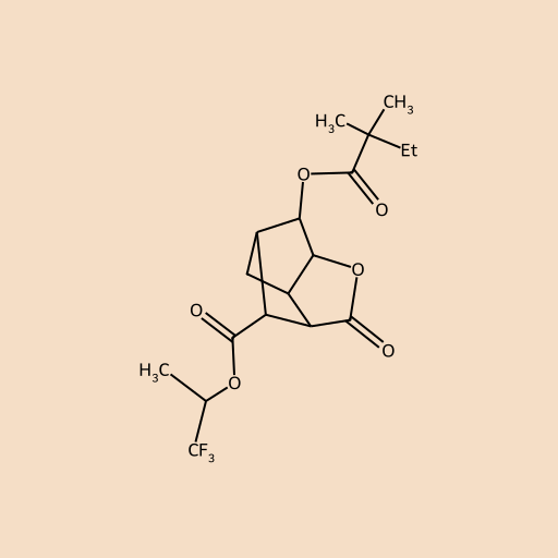 CCC(C)(C)C(=O)OC1C2CC3C1OC(=O)C3C2C(=O)OC(C)C(F)(F)F